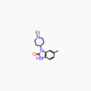 CCN1CCC(n2c(=O)[nH]c3ccc(C)cc32)CC1